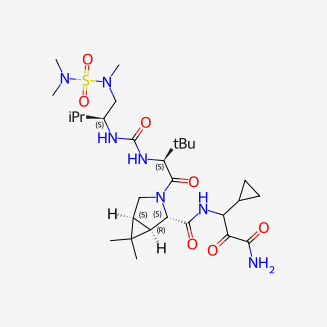 CC(C)[C@@H](CN(C)S(=O)(=O)N(C)C)NC(=O)N[C@H](C(=O)N1C[C@H]2[C@@H]([C@H]1C(=O)NC(C(=O)C(N)=O)C1CC1)C2(C)C)C(C)(C)C